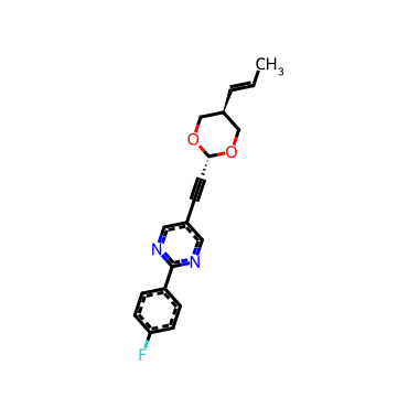 C/C=C/[C@H]1CO[C@H](C#Cc2cnc(-c3ccc(F)cc3)nc2)OC1